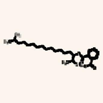 CC(C)CCCCCCCCCCCCC(OC(=O)c1ccccc1C(=O)O)C(C)C